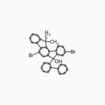 CC1(C)c2ccccc2-c2c(Br)cc3c(c21)-c1ccc(Br)cc1C3(O)c1ccccc1-c1ccccc1